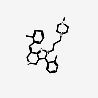 Cc1ccccc1/C=C1/CSCC2C1=NN(CCCN1CCN(C)CC1)C2c1ccccc1C